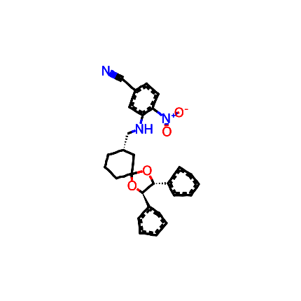 N#Cc1ccc([N+](=O)[O-])c(NC[C@H]2CCCC3(C2)O[C@H](c2ccccc2)[C@@H](c2ccccc2)O3)c1